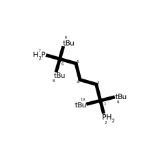 CC(C)(C)C(P)(CCCC(P)(C(C)(C)C)C(C)(C)C)C(C)(C)C